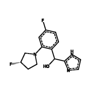 OC(c1ncc[nH]1)c1ccc(F)cc1N1CC[C@H](F)C1